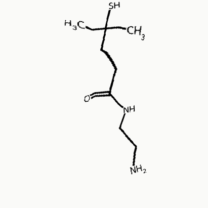 CC(C)(S)CCC(=O)NCCN